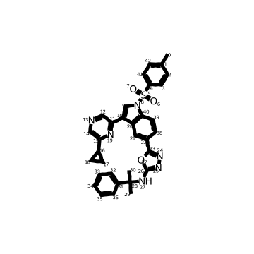 Cc1ccc(S(=O)(=O)n2cc(-c3cncc(C4CC4)n3)c3cc(-c4nnc(NC(C)(C)c5ccccc5)o4)ccc32)cc1